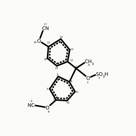 CC(OS(=O)(=O)O)(c1ccc(OC#N)cc1)c1ccc(OC#N)cc1